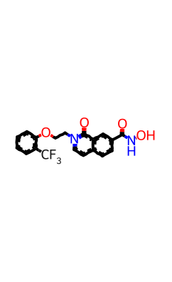 O=C(NO)c1ccc2ccn(CCOc3ccccc3C(F)(F)F)c(=O)c2c1